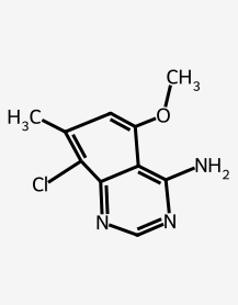 COc1cc(C)c(Cl)c2ncnc(N)c12